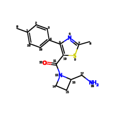 Cc1ccc(-c2nc(C)sc2C(=O)N2CCC2CN)cc1